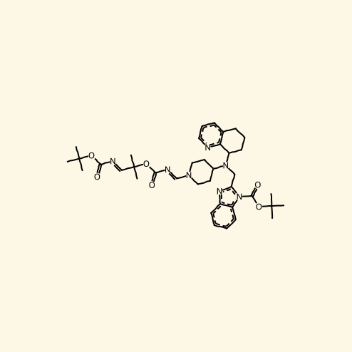 CC(C)(C)OC(=O)/N=C/C(C)(C)OC(=O)/N=C/N1CCC(N(Cc2nc3ccccc3n2C(=O)OC(C)(C)C)C2CCCc3cccnc32)CC1